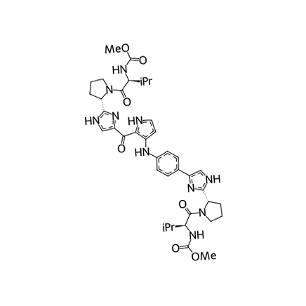 COC(=O)N[C@H](C(=O)N1CCC[C@H]1c1nc(C(=O)c2[nH]ccc2Nc2ccc(-c3c[nH]c([C@@H]4CCCN4C(=O)[C@@H](NC(=O)OC)C(C)C)n3)cc2)c[nH]1)C(C)C